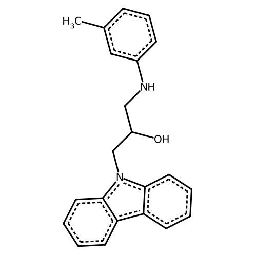 Cc1cccc(NCC(O)Cn2c3ccccc3c3ccccc32)c1